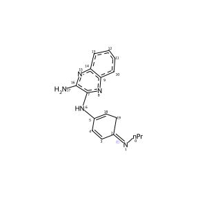 CCC/N=C1/C=CC(Nc2nc3ccccc3nc2N)=CC1